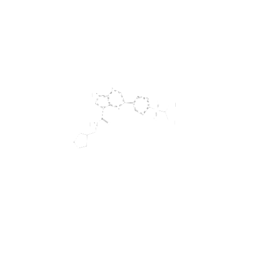 CC(C)S(=O)(=O)c1ccc(-c2cnc3[nH]cc(C(=O)NCC4CCCC4)c3n2)cc1